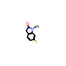 CC(C)N1C(=O)Cc2ccc(F)cc21